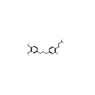 Cc1cc(CCCc2ccc(CO)c(CO)c2)ccc1CCC(O)C(F)(F)F